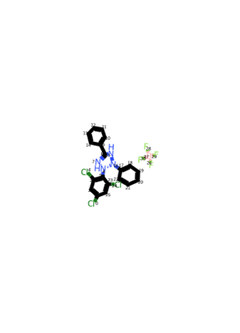 Clc1cc(Cl)c([NH+]2N=C(c3ccccc3)NN2c2ccccc2)c(Cl)c1.F[B-](F)(F)F